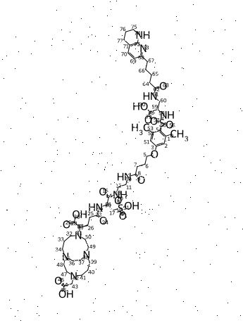 Cc1cc(OCCCC(=O)NCCNC(=O)[C@H](CS(=O)(=O)O)NC(=O)CC[C@H](C(=O)O)N2CCCN3CCN(CCCN(CC(=O)O)CC3)CC2)cc(C)c1S(=O)(=O)NC(CNC(=O)CCCCc1ccc2c(n1)NCCC2)C(=O)O